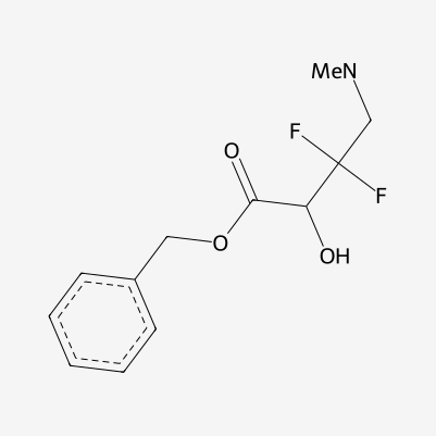 CNCC(F)(F)C(O)C(=O)OCc1ccccc1